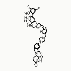 NC1=C(/C=C(\N)c2cc(F)cc(F)c2O)N2CC(Sc3ncc(CN4CCN(c5ccc6c(c5)C(=O)N(C5CCC(=O)NC5=O)C6)CC4)cn3)CC2CN1